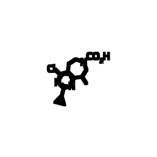 CC1CN(C(=O)O)CCc2c(Cl)nc(C3CC3)nc21